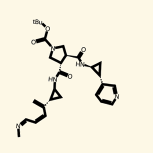 C=C(/C=C\C=N/C)[C@H]1CC1NC(=O)[C@@H]1CN(C(=O)OC(C)(C)C)C[C@H]1C(=O)N[C@H]1C[C@@H]1c1cccnc1